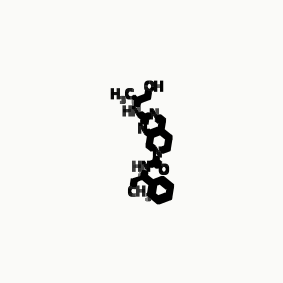 CC[C@@H](NC(=O)N1CCc2cnc(N[C@@H](C)CO)nc2C1)c1ccccc1